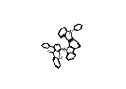 O=c1c2ccccc2oc2c(-n3c4ccccc4c4ccc5c(c6ccccc6n5-c5ccccc5)c43)ccc(-c3ccccc3)c12